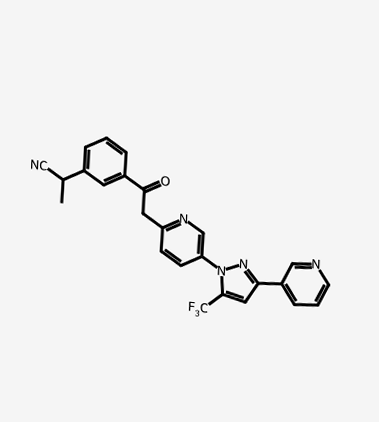 CC(C#N)c1cccc(C(=O)Cc2ccc(-n3nc(-c4cccnc4)cc3C(F)(F)F)cn2)c1